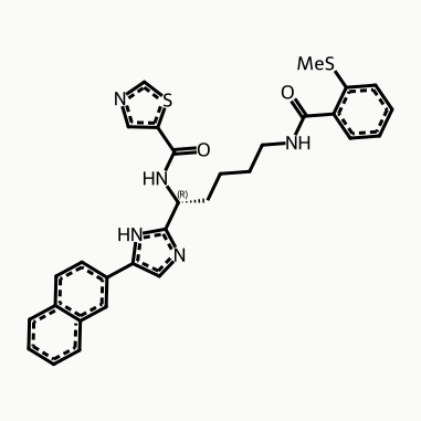 CSc1ccccc1C(=O)NCCCC[C@@H](NC(=O)c1cncs1)c1ncc(-c2ccc3ccccc3c2)[nH]1